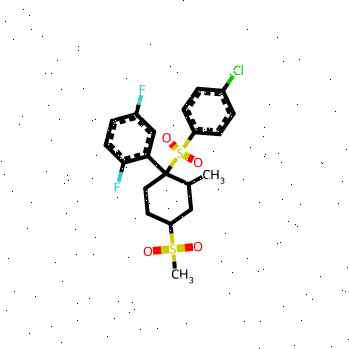 CC1CC(S(C)(=O)=O)CCC1(c1cc(F)ccc1F)S(=O)(=O)c1ccc(Cl)cc1